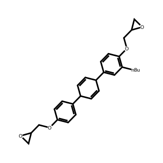 CCCCc1cc(C2C=CC(c3ccc(OCC4CO4)cc3)C=C2)ccc1OCC1CO1